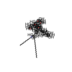 CCCCCCCCCCCCC/C=C/[C@@H](O)[C@H](CO[C@@H]1OC(CO)[C@@H](O[C@@H]2OC(CO[C@@H]3OC(CO)[C@@H](O)[C@H](O[C@H]4OC(C)[C@@H](O)C(O)[C@@H]4O)C3NC(C)=O)[C@H](O)[C@H](O[C@@H]3OC(CO)[C@@H](O[C@H]4OC(C)[C@@H](O)C(O)[C@@H]4O)[C@H](O[C@@H]4OC(CO)[C@H](O)[C@H](O[C@]5(C(=O)O)CC(O)[C@@H](NC(C)=O)C([C@H](O)[C@H](O)CO)O5)C4O)C3NC(C)=O)C2O)[C@H](O)C1O)NC(=O)CCCCCCCCCCCCCCCCCCC